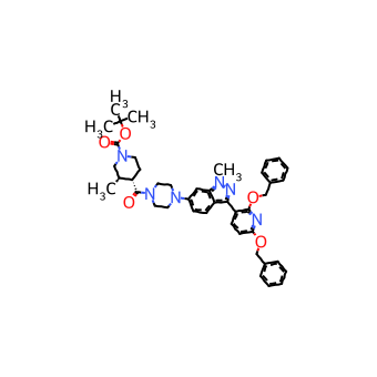 C[C@H]1CN(C(=O)OC(C)(C)C)CC[C@@H]1C(=O)N1CCN(c2ccc3c(-c4ccc(OCc5ccccc5)nc4OCc4ccccc4)nn(C)c3c2)CC1